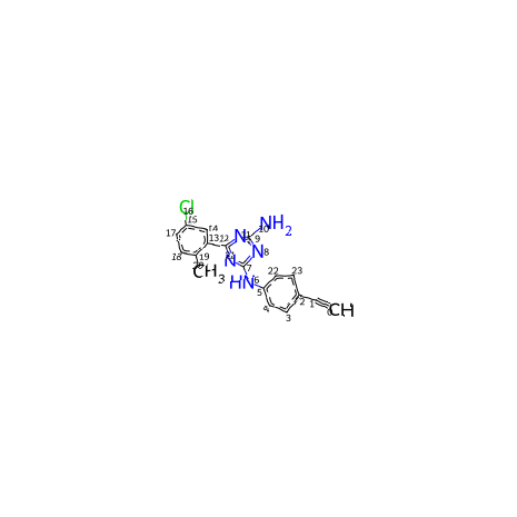 C#Cc1ccc(Nc2nc(N)nc(-c3cc(Cl)ccc3C)n2)cc1